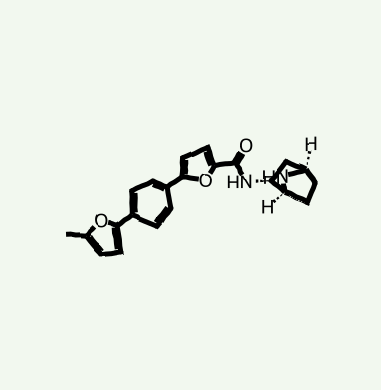 Cc1ccc(-c2ccc(-c3ccc(C(=O)N[C@@H]4C[C@H]5CC[C@@H]4N5)o3)cc2)o1